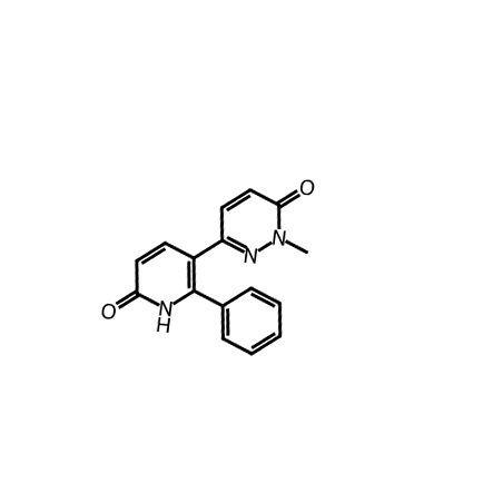 Cn1nc(-c2ccc(=O)[nH]c2-c2ccccc2)ccc1=O